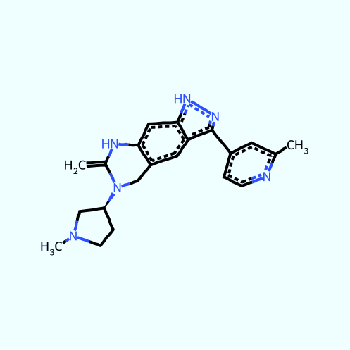 C=C1Nc2cc3[nH]nc(-c4ccnc(C)c4)c3cc2CN1[C@H]1CCN(C)C1